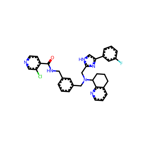 O=C(NCc1cccc(CN(Cc2nc(-c3cccc(F)c3)c[nH]2)C2CCCc3cccnc32)c1)c1ccncc1Cl